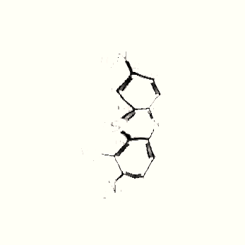 Cc1c(N)ccc2nc3ccc(N)cc3[s+]c12